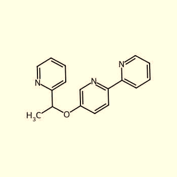 CC(Oc1ccc(-c2ccccn2)nc1)c1ccccn1